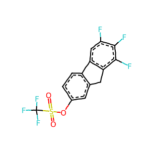 O=S(=O)(Oc1ccc2c(c1)Cc1c-2cc(F)c(F)c1F)C(F)(F)F